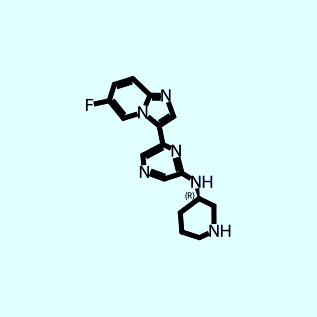 Fc1ccc2ncc(-c3cncc(N[C@@H]4CCCNC4)n3)n2c1